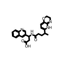 CC(CCC(=O)NC(CC(=O)O)c1cnc2ccccc2c1)C1=CC=C2OCCN=C2N1